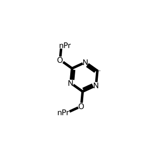 CCCOc1n[c]nc(OCCC)n1